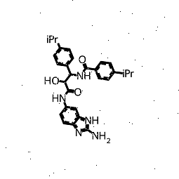 CC(C)c1ccc(C(=O)NC(c2ccc(C(C)C)cc2)C(O)C(=O)Nc2ccc3nc(N)[nH]c3c2)cc1